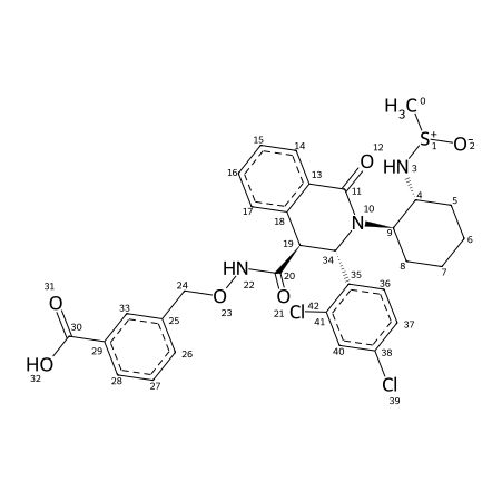 C[S+]([O-])N[C@@H]1CCCC[C@H]1N1C(=O)c2ccccc2[C@H](C(=O)NOCc2cccc(C(=O)O)c2)[C@H]1c1ccc(Cl)cc1Cl